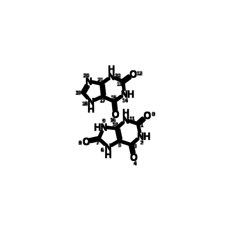 O=c1[nH]c(=O)c2[nH]c(=O)[nH]c2[nH]1.O=c1[nH]c(=O)c2[nH]cnc2[nH]1